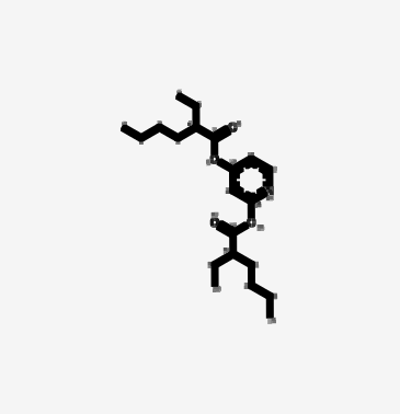 CCCCC(CC)C(=O)Oc1ccnc(OC(=O)C(CC)CCCC)c1